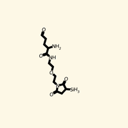 NC(CCC=O)C(=O)NCCOCCN1C(=O)CC([SiH3])C1=O